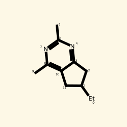 CCC1Cc2nc(C)nc(C)c2C1